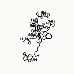 CC[C@H](C)[C@@H]1NC(=O)CNC(=O)C2Cc3c4[nH]c5cc(ccc35)OC(CCCCCCNC(O)ON3C(=O)CCC3=O)(C(=O)[C@H](CCC(N)=O)NC(=O)C(CS4)NC(=O)CNC1=O)N1C[C@H](O)C[C@]1(C=O)N[C@@H]([C@@H](C)[C@@H](O)CO)C(=O)N2